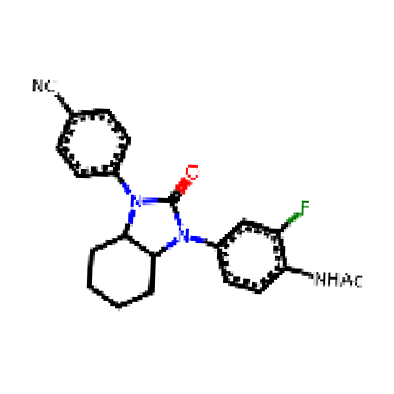 CC(=O)Nc1ccc(N2C(=O)N(c3ccc(C#N)cc3)C3CCCCC32)cc1F